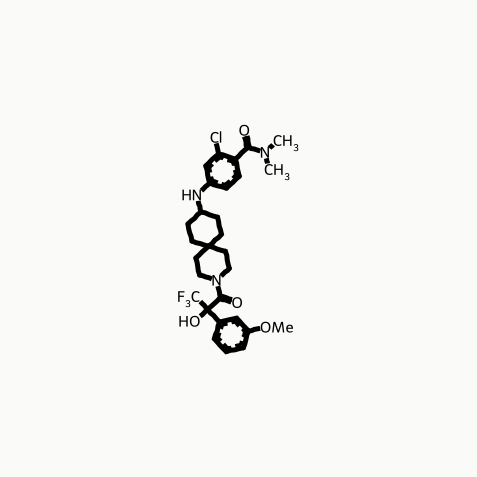 COc1cccc(C(O)(C(=O)N2CCC3(CCC(Nc4ccc(C(=O)N(C)C)c(Cl)c4)CC3)CC2)C(F)(F)F)c1